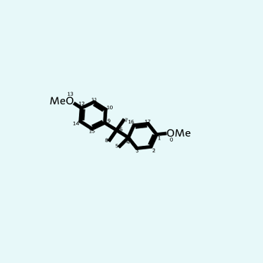 COC1=CCC(C)(C(C)(C)c2ccc(OC)cc2)C=C1